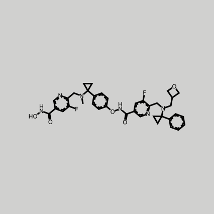 CN(Cc1ncc(C(=O)NO)cc1F)C1(c2ccc(ONC(=O)c3cnc(CN(CC4COC4)C4(c5ccccc5)CC4)c(F)c3)cc2)CC1